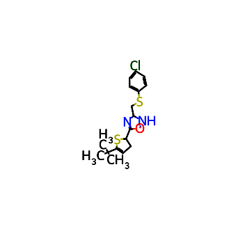 CC(C)(C)C1=CCC(C2=NC(CSc3ccc(Cl)cc3)NO2)S1